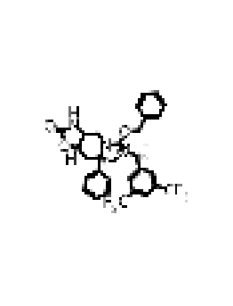 C[C@@H](OC[C@@]1(c2ccccc2)C[C@H]2OC(=O)NC2CN1C(=O)OCc1ccccc1)c1cc(C(F)(F)F)cc(C(F)(F)F)c1